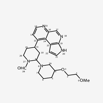 COCCOC1CCCN(C2CC(c3ccnc4cnc5[nH]ccc5c34)CCN2C=O)C1